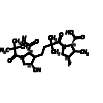 CC1[C@@H](C(=O)O)N(C(=O)C(C)(C)CCC2[C@H](O)CN(C(=O)C(C)(C)C)[C@@H]2C(=O)O)C[C@@H]1F